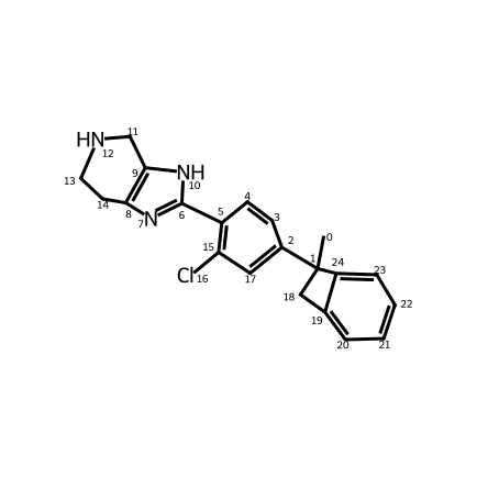 CC1(c2ccc(-c3nc4c([nH]3)CNCC4)c(Cl)c2)Cc2ccccc21